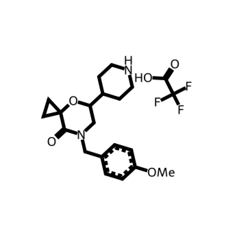 COc1ccc(CN2CC(C3CCNCC3)OC3(CC3)C2=O)cc1.O=C(O)C(F)(F)F